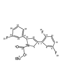 CC(C)(C)OC(=O)N1CC(c2cc(F)ccc2F)=CC1c1cccc(F)c1